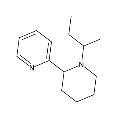 CCC(C)N1CCCCC1c1ccccn1